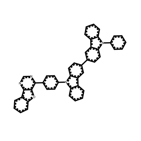 c1ccc(-n2c3ccccc3c3cc(-c4ccc5c(c4)c4ccccc4n5-c4ccc(-c5ncnc6c5oc5ccccc56)cc4)ccc32)cc1